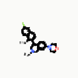 CN1Cc2cc(N3CCOCC3)ccc2C(c2ccc3cc(F)ccc3c2C=O)C1